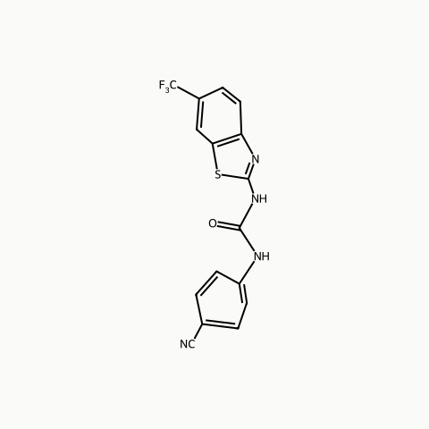 N#Cc1ccc(NC(=O)Nc2nc3ccc(C(F)(F)F)cc3s2)cc1